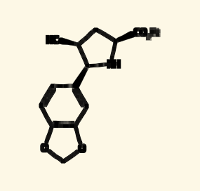 CCOC(=O)[C@@H]1C[C@H](C#N)[C@H](c2ccc3c(c2)OCO3)N1